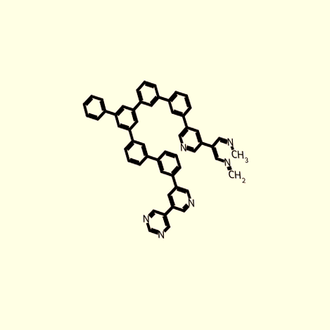 C=N/C=C(\C=N/C)c1cncc(-c2cccc(-c3cccc(-c4cc(-c5ccccc5)cc(-c5cccc(-c6cccc(-c7cncc(-c8cncnc8)c7)c6)c5)c4)c3)c2)c1